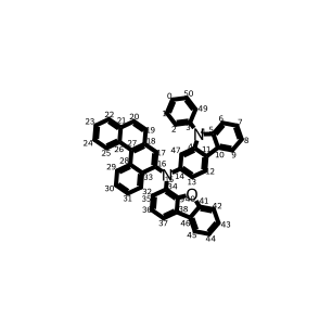 c1ccc(-n2c3ccccc3c3ccc(N(c4cc5ccc6ccccc6c5c5ccccc45)c4cccc5c4oc4ccccc45)cc32)cc1